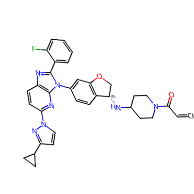 C=CC(=O)N1CCC(N[C@H]2COc3cc(-n4c(-c5ccccc5F)nc5ccc(-n6ccc(C7CC7)n6)nc54)ccc32)CC1